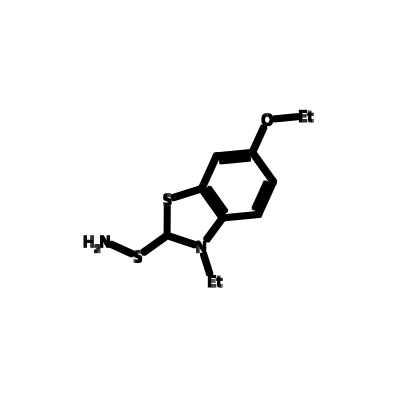 CCOc1ccc2c(c1)SC(SN)N2CC